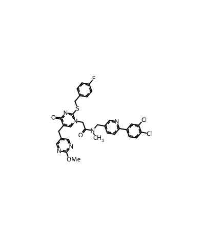 COc1ncc(Cc2cn(CC(=O)N(C)Cc3ccc(-c4ccc(Cl)c(Cl)c4)nc3)c(SCc3ccc(F)cc3)nc2=O)cn1